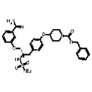 CCCCS(=O)(=O)N[C@H](COc1cccc(C(=N)N)c1)Cc1ccc(OC2CCN(C(=O)OCc3ccccc3)CC2)cc1